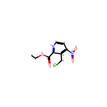 CCOC(=O)c1nccc([N+](=O)[O-])c1CBr